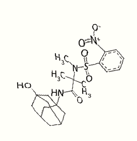 CN(C(C)(C)C(=O)NC12CC3CC(CC(O)(C3)C1)C2)S(=O)(=O)c1ccccc1[N+](=O)[O-]